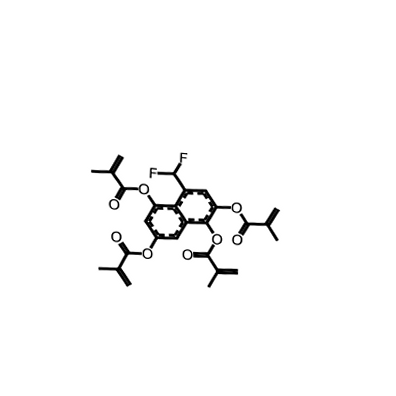 C=C(C)C(=O)Oc1cc(OC(=O)C(=C)C)c2c(C(F)F)cc(OC(=O)C(=C)C)c(OC(=O)C(=C)C)c2c1